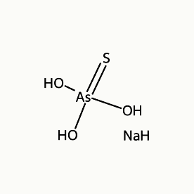 O[As](O)(O)=S.[NaH]